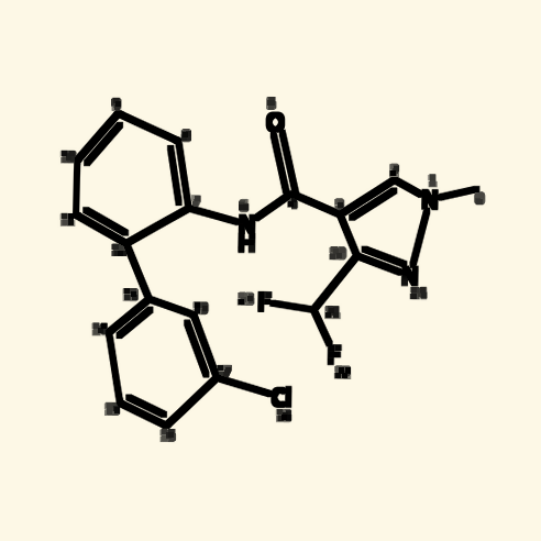 Cn1cc(C(=O)Nc2ccccc2-c2cccc(Cl)c2)c(C(F)F)n1